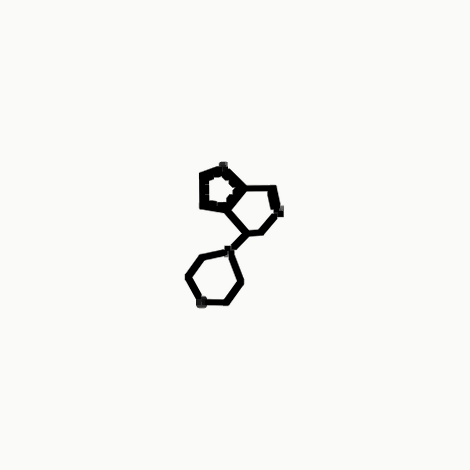 C1=NCC(N2CCOCC2)c2ccsc21